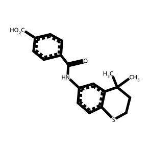 CC1(C)CCSc2ccc(NC(=O)c3ccc(C(=O)O)cc3)cc21